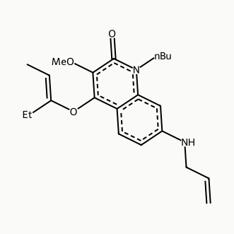 C=CCNc1ccc2c(OC(=CC)CC)c(OC)c(=O)n(CCCC)c2c1